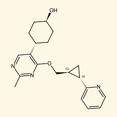 Cc1ncc([C@H]2CC[C@H](O)CC2)c(OC[C@H]2C[C@@H]2c2ccccn2)n1